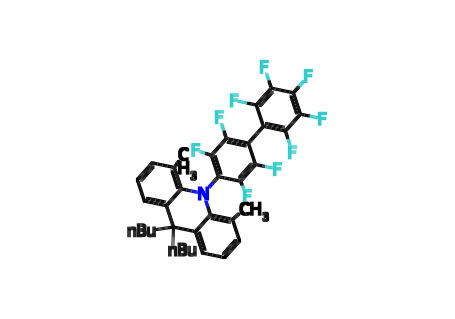 CCCCC1(CCCC)c2cccc(C)c2N(c2c(F)c(F)c(-c3c(F)c(F)c(F)c(F)c3F)c(F)c2F)c2c(C)cccc21